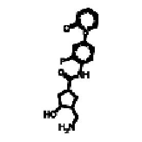 NCC1CC(C(=O)Nc2ccc(-n3ccccc3=O)cc2F)CC1O